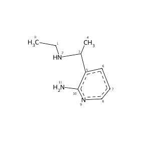 CCNC(C)c1cccnc1N